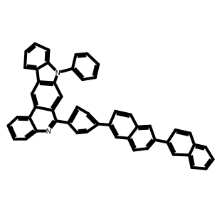 c1ccc(-n2c3ccccc3c3cc4c(cc32)c(-c2ccc(-c3ccc5cc(-c6ccc7ccccc7c6)ccc5c3)cc2)nc2ccccc24)cc1